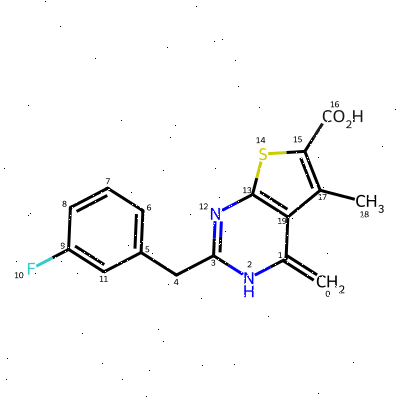 C=C1NC(Cc2cccc(F)c2)=Nc2sc(C(=O)O)c(C)c21